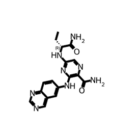 CC[C@@H](Nc1cnc(C(N)=O)c(Nc2ccc3ncncc3c2)n1)C(N)=O